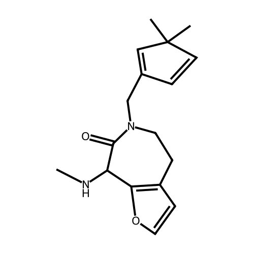 CNC1C(=O)N(CC2=CC(C)(C)C=C2)CCc2ccoc21